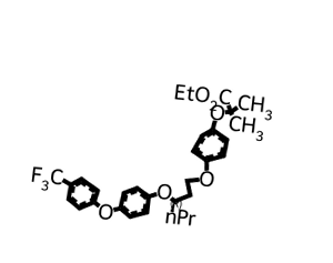 CCC[C@H](CCOc1ccc(OC(C)(C)C(=O)OCC)cc1)Oc1ccc(Oc2ccc(C(F)(F)F)cc2)cc1